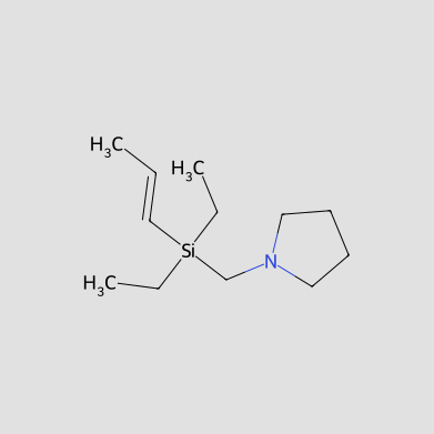 CC=C[Si](CC)(CC)CN1CCCC1